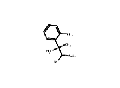 CNC(C#N)C(C)(C)c1ccccc1C